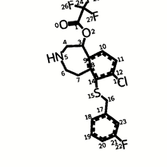 O=C(OC1CNCCc2c1ccc(Cl)c2SCc1cccc(F)c1)C(F)(F)F